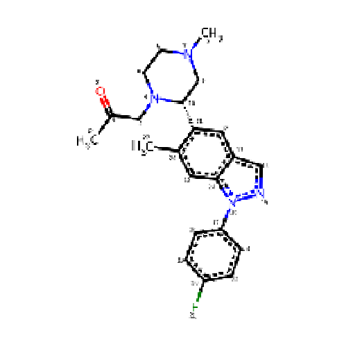 CC(=O)CN1CCN(C)C[C@@H]1c1cc2cnn(-c3ccc(F)cc3)c2cc1C